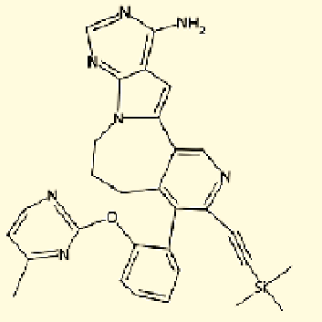 Cc1ccnc(Oc2ccccc2-c2c(C#C[Si](C)(C)C)ncc3c2CCCn2c-3cc3c(N)ncnc32)n1